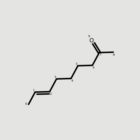 CC=CCCCCC(C)=O